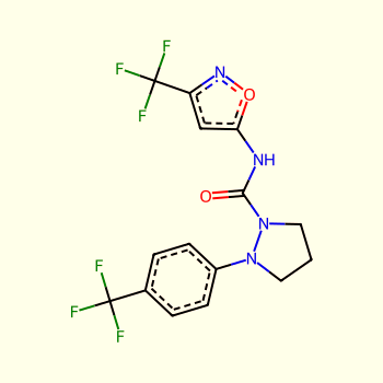 O=C(Nc1cc(C(F)(F)F)no1)N1CCCN1c1ccc(C(F)(F)F)cc1